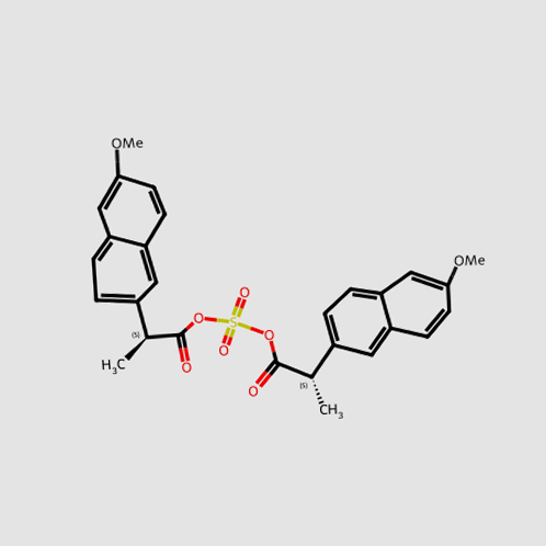 COc1ccc2cc([C@H](C)C(=O)OS(=O)(=O)OC(=O)[C@@H](C)c3ccc4cc(OC)ccc4c3)ccc2c1